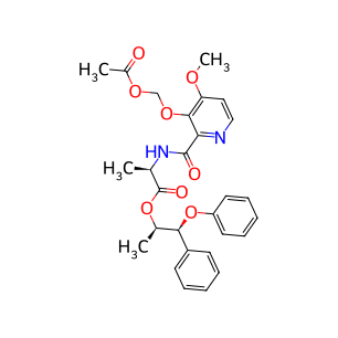 COc1ccnc(C(=O)N[C@H](C)C(=O)O[C@H](C)[C@@H](Oc2ccccc2)c2ccccc2)c1OCOC(C)=O